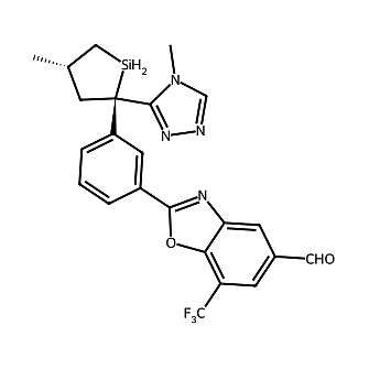 C[C@@H]1C[SiH2][C@](c2cccc(-c3nc4cc(C=O)cc(C(F)(F)F)c4o3)c2)(c2nncn2C)C1